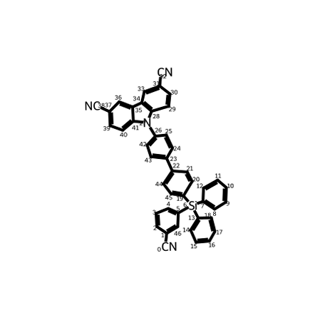 N#Cc1cccc([Si](c2ccccc2)(c2ccccc2)c2ccc(-c3ccc(-n4c5ccc(C#N)cc5c5cc(C#N)ccc54)cc3)cc2)c1